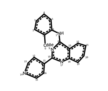 COc1ccccc1Nc1nc(-c2ccncc2)nc2ccccc12